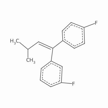 CC(C)C=C(c1ccc(F)cc1)c1cccc(F)c1